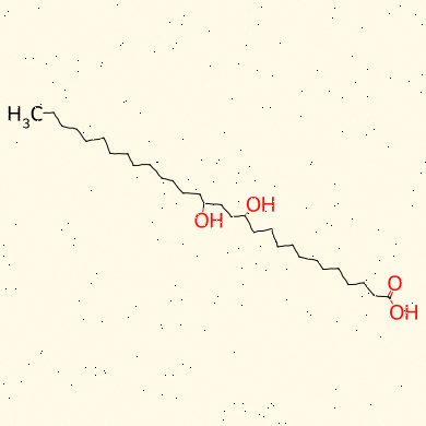 CCCCCCCCCCCCCCC(O)CCC(O)CCCCCCCCCCCC(=O)O